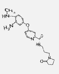 CNc1ccc(Oc2ccnc(C(=O)NCCCN3CCCC3=O)c2)cc1N